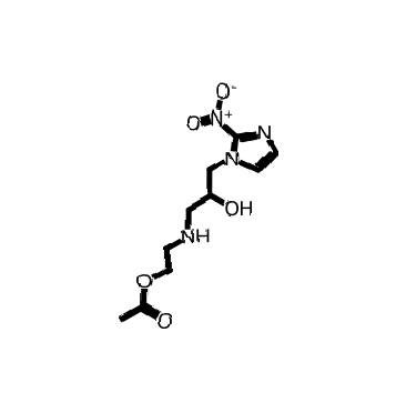 CC(=O)OCCNCC(O)Cn1ccnc1[N+](=O)[O-]